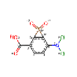 O=C(O)c1ccc(N(Cl)Cl)c2c1S2(=O)=O